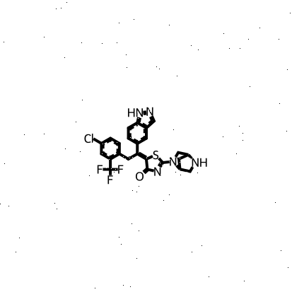 O=C1N=C(N2CC3CC2CN3)SC1=C(Cc1ccc(Cl)cc1C(F)(F)F)c1ccc2[nH]ncc2c1